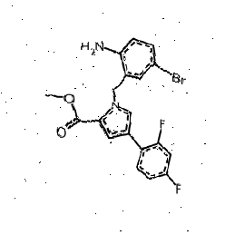 COC(=O)c1cc(-c2ccc(F)cc2F)cn1Cc1cc(Br)ccc1N